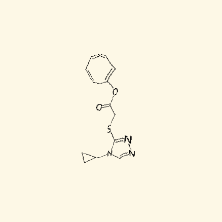 O=C(CSc1nncn1C1CC1)Oc1ccccc1